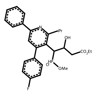 CCOC(=O)CC(O)C(c1c(-c2ccc(F)cc2)cc(-c2ccccc2)nc1C(C)C)[PH](=O)OC